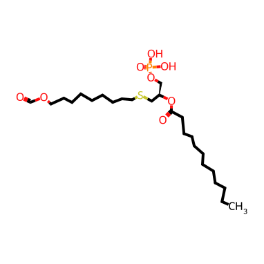 CCCCCCCCCCCC(=O)O[C@H](COP(=O)(O)O)CSCCCCCCCCCOC=O